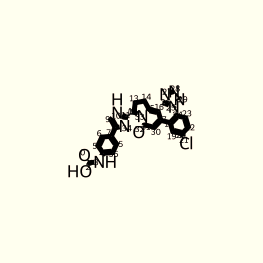 O=C(O)Nc1ccc(-c2c[nH]c([C@@H]3CCc4cc(-c5cc(Cl)ccc5-n5cnnn5)cc(=O)n43)n2)cc1